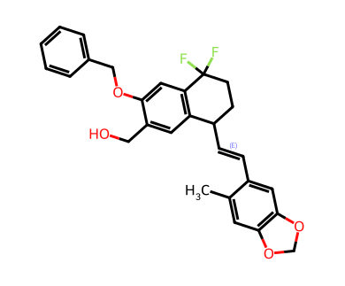 Cc1cc2c(cc1/C=C/C1CCC(F)(F)c3cc(OCc4ccccc4)c(CO)cc31)OCO2